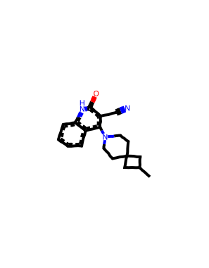 CC1CC2(CCN(c3c(C#N)c(=O)[nH]c4ccccc34)CC2)C1